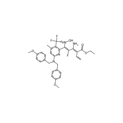 C=C/C(C(=O)OCC)=C(N)\C(F)=C(/NO)c1nc(N(Cc2ccc(OC)cc2)Cc2ccc(OC)cc2)cc(C)c1C(F)(F)F